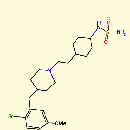 COc1ccc(Br)c(CC2CCN(CCC3CCC(NS(N)(=O)=O)CC3)CC2)c1